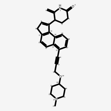 C=C1NC(=O)CCC1C1=CCc2ccc3c(C#CCOC4CCN(C)CC4)cccc3c21